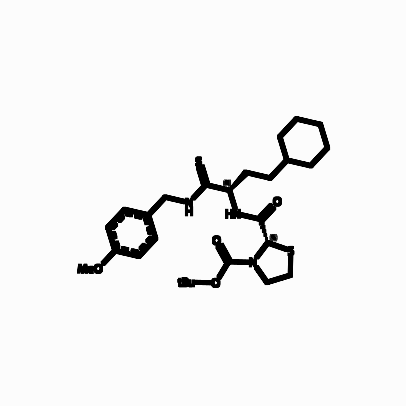 COc1ccc(CNC(=S)[C@@H](CCC2CCCCC2)NC(=O)[C@@H]2SCCN2C(=O)OC(C)(C)C)cc1